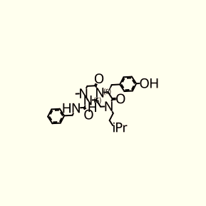 CC(C)CCN1C[C@H]2N(C(=O)CN(C)N2C(=O)NCc2ccccc2)[C@@H](Cc2ccc(O)cc2)C1=O